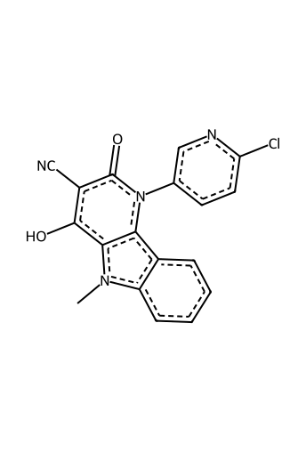 Cn1c2ccccc2c2c1c(O)c(C#N)c(=O)n2-c1ccc(Cl)nc1